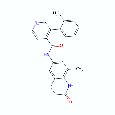 Cc1ccccc1-c1cnccc1C(=O)Nc1cc(C)c2c(c1)CCC(=O)N2